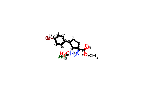 COC(=O)C1(N)CCC(c2ccc(Br)cc2)C1.Cl.O